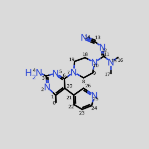 Cc1nc(N)nc(N2CCN(/C(=N\C#N)N(C)C)CC2)c1-c1cccnc1